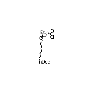 CCCCCCCCCCCCCCCCCCOC(CC)COC(=O)Cl